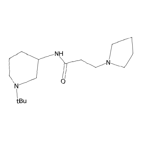 CC(C)(C)N1CCCC(NC(=O)CCN2CCCC2)C1